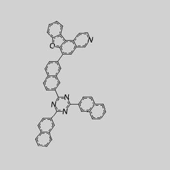 c1ccc2cc(-c3nc(-c4ccc5ccccc5c4)nc(-c4ccc5ccc(-c6cc7cnccc7c7c6oc6ccccc67)cc5c4)n3)ccc2c1